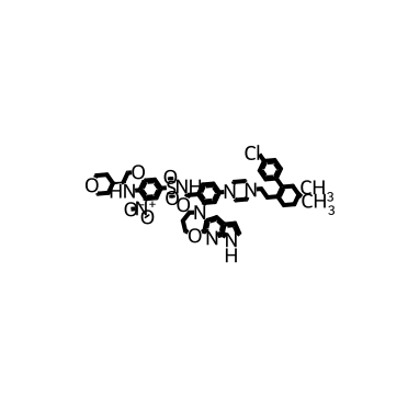 CC1(C)CCC(CCN2CCN(c3ccc(C(=O)NS(=O)(=O)c4cc5c(c([N+](=O)[O-])c4)N[C@@H](C4CCOCC4)CO5)c(N4CCCOc5nc6[nH]ccc6cc54)c3)CC2)=C(c2ccc(Cl)cc2)C1